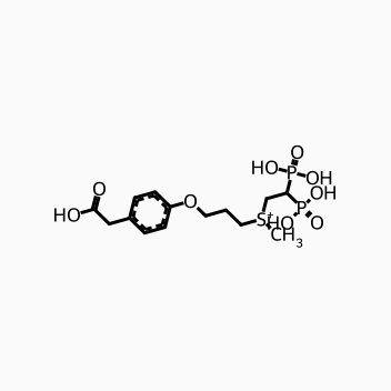 C[S+](CCCOc1ccc(CC(=O)O)cc1)CC(P(=O)(O)O)P(=O)(O)O